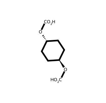 O=C(O)O[C@H]1CC[C@H](OC(=O)O)CC1